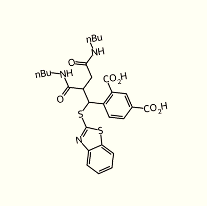 CCCCNC(=O)CC(C(=O)NCCCC)C(Sc1nc2ccccc2s1)c1ccc(C(=O)O)cc1C(=O)O